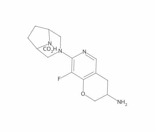 NC1COc2c(cnc(N3CC4CCC(C3)N4C(=O)O)c2F)C1